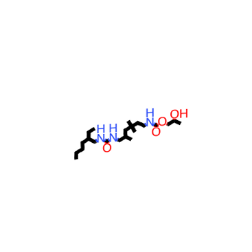 CCCCC(CC)CNC(=O)NCC(C)CC(C)(C)CCNC(=O)OCC(C)O